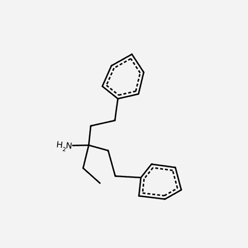 CCC(N)(CCc1ccccc1)CCc1ccccc1